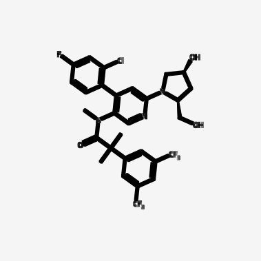 CN(C(=O)C(C)(C)c1cc(C(F)(F)F)cc(C(F)(F)F)c1)c1cnc(N2C[C@@H](O)C[C@H]2CO)cc1-c1ccc(F)cc1Cl